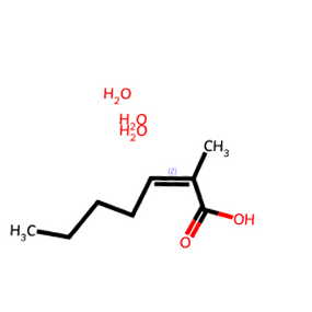 CCCC/C=C(/C)C(=O)O.O.O.O